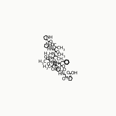 CC(C)[C@H](NC(=O)[C@@H](NC(=O)[C@@H]1CCCN1C(=O)[C@@H]1CCCN1)C(C)C)C(=O)N[C@H](C(=O)N[C@H](C(=O)N[C@@H](Cc1ccccc1)C(=O)N1CCC[C@H]1C(=O)NCC(=O)N1CCC[C@H]1C(=O)O)[C@@H](C)O)C(C)C